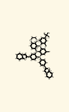 Cc1cc2c3c(c1)N(c1c(C)cc(C(C)(C)C)cc1C)c1c(ccc4c1OCCO4)B3c1cc(-c3cc4ccccc4o3)ccc1N2c1ccc(-c2cc3ccccc3o2)cc1